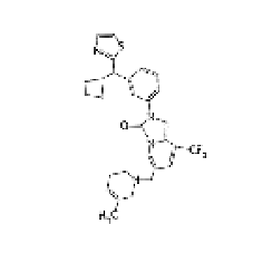 CC1=CCCN(Cc2cc(C(F)(F)F)c3cn(-c4cccc(C(c5nccs5)C5CCC5)c4)c(=O)n3c2)C1